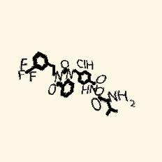 CC(C)C(N)C(=O)ONC(=O)c1ccc(Cn2c(=O)n(CCc3cccc(C(F)(F)F)c3)c(=O)c3ccccc32)cc1.Cl